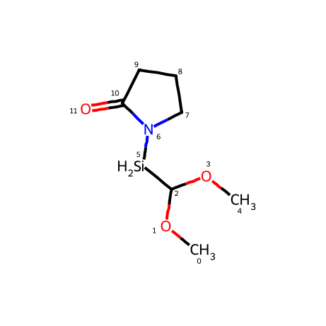 COC(OC)[SiH2]N1CCCC1=O